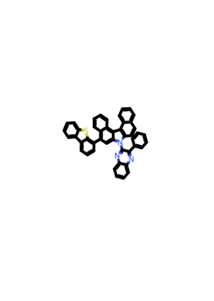 c1ccc(-c2nc3ccccc3nc2-n2c3ccc4ccccc4c3c3c4ccccc4c(-c4cccc5c4sc4ccccc45)cc32)cc1